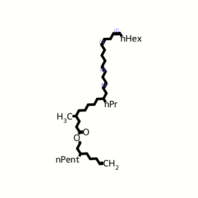 C=CCCCC(CCCCC)CCOC(=O)CCC(C)CCCCCC(C/C=C/C/C=C/CCC/C=C\C/C=C\CCCCCC)CCC